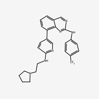 FC(F)(F)c1ccc(Nc2ncc3cccc(-c4ccc(NCCN5CCCC5)nc4)c3n2)cc1